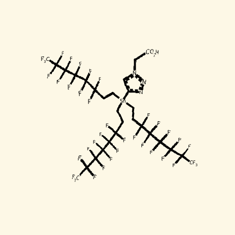 O=C(O)Cn1c[c]([Sn]([CH2]CC(F)(F)C(F)(F)C(F)(F)C(F)(F)C(F)(F)C(F)(F)F)([CH2]CC(F)(F)C(F)(F)C(F)(F)C(F)(F)C(F)(F)C(F)(F)F)[CH2]CC(F)(F)C(F)(F)C(F)(F)C(F)(F)C(F)(F)C(F)(F)F)nn1